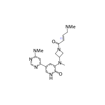 CNC/C=C/C(=O)N1CC(N(C)c2cc(-c3cc(NC)ncn3)c[nH]c2=O)C1